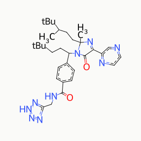 CC(CCC1(C)N=C(c2cnccn2)C(=O)N1C(CCC(C)(C)C)c1ccc(C(=O)NCc2nn[nH]n2)cc1)C(C)(C)C